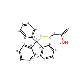 C=C(O)CCSC(c1ccccc1)(c1ccccc1)c1ccccc1